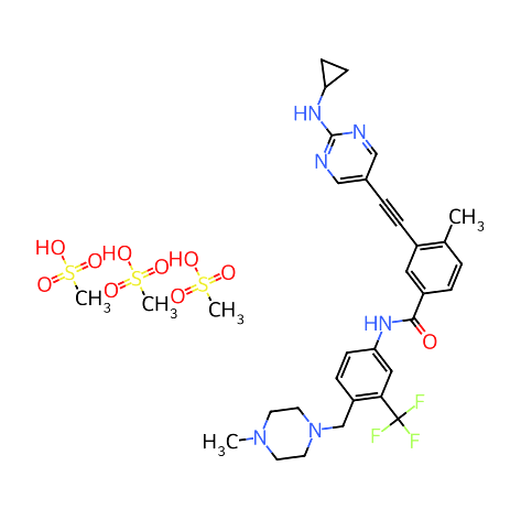 CS(=O)(=O)O.CS(=O)(=O)O.CS(=O)(=O)O.Cc1ccc(C(=O)Nc2ccc(CN3CCN(C)CC3)c(C(F)(F)F)c2)cc1C#Cc1cnc(NC2CC2)nc1